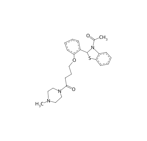 CC(=O)N1c2ccccc2SC1c1ccccc1OCCCC(=O)N1CCN(C)CC1